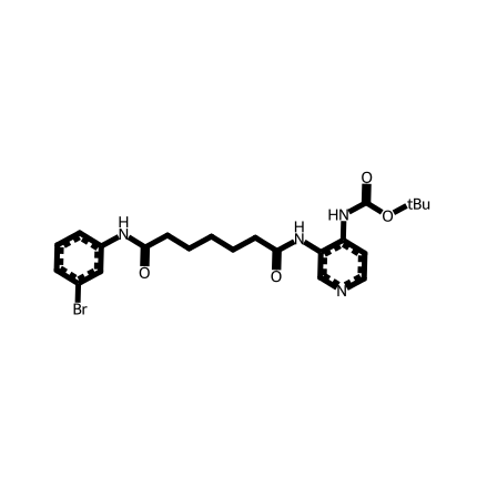 CC(C)(C)OC(=O)Nc1ccncc1NC(=O)CCCCCC(=O)Nc1cccc(Br)c1